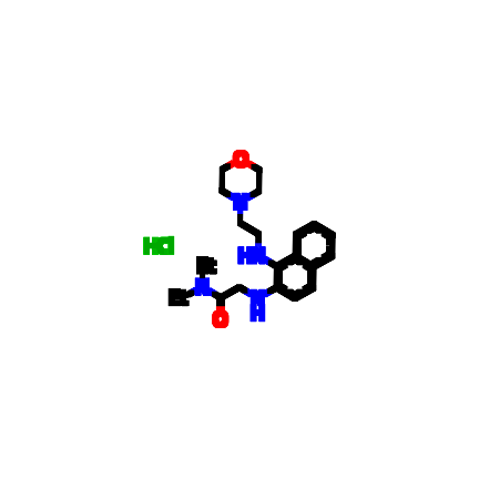 CCN(CC)C(=O)CNc1ccc2ccccc2c1NCCN1CCOCC1.Cl